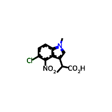 CC(C(=O)O)c1cn(C)c2ccc(Cl)c([N+](=O)[O-])c12